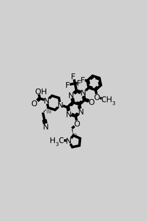 COc1cccc(F)c1-n1c(C(F)(F)F)nc2c(N3CCN(C(=O)O)[C@@H](CC#N)C3)nc(OC[C@@H]3CCCN3C)nc2c1=O